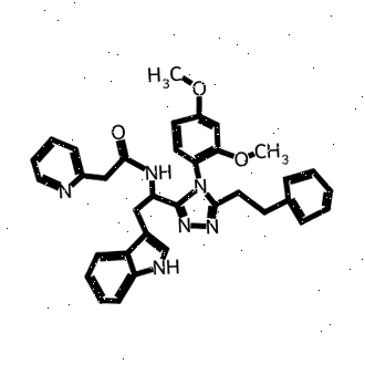 COc1ccc(-n2c(CCc3ccccc3)nnc2C(Cc2c[nH]c3ccccc23)NC(=O)Cc2ccccn2)c(OC)c1